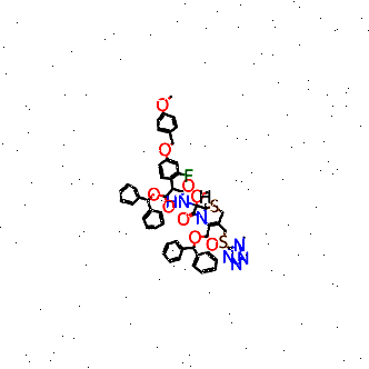 COc1ccc(COc2ccc(C(C(=O)N[C@]3(OC)C(=O)N4C(C(=O)OC(c5ccccc5)c5ccccc5)=C(CSc5nnnn5C)CS[C@H]43)C(=O)OC(c3ccccc3)c3ccccc3)c(F)c2)cc1